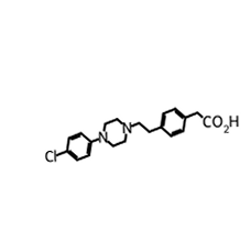 O=C(O)Cc1ccc(CCN2CCN(c3ccc(Cl)cc3)CC2)cc1